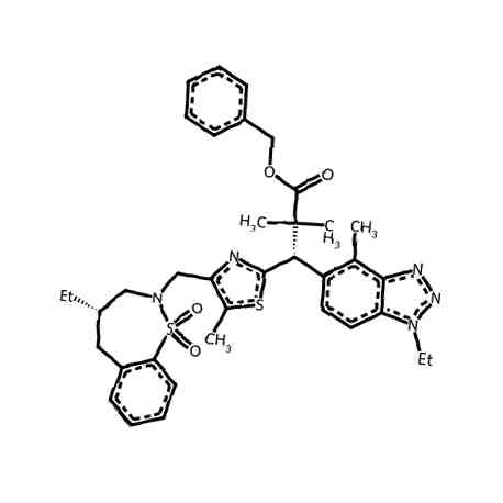 CC[C@H]1Cc2ccccc2S(=O)(=O)N(Cc2nc([C@@H](c3ccc4c(nnn4CC)c3C)C(C)(C)C(=O)OCc3ccccc3)sc2C)C1